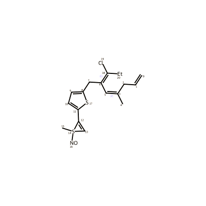 C=CC/C(C)=C\C(Cc1ccc(C2=CS2(C)N=O)s1)=C(\Cl)CC